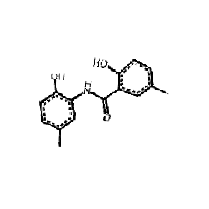 Cc1ccc(O)c(NC(=O)c2cc(C)ccc2O)c1